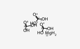 O=C(O)O.O=C(O)O.O=C(O)O.[MgH2]